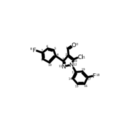 O=Cc1c(-c2ccc(F)cc2)nn(-c2cccc(F)c2)c1Cl